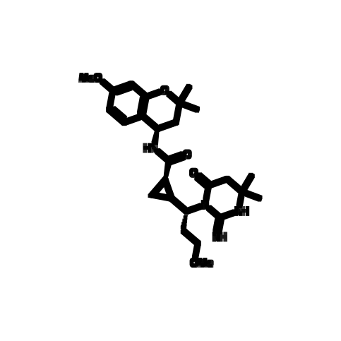 COCC[C@H](C1C[C@H]1C(=O)N[C@@H]1CC(C)(C)Oc2cc(OC)ccc21)N1C(=N)NC(C)(C)CC1=O